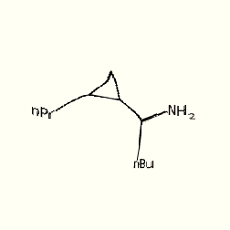 CCCCC(N)C1CC1CCC